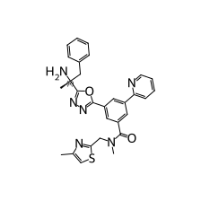 Cc1csc(CN(C)C(=O)c2cc(-c3ccccn3)cc(-c3nnc([C@](C)(N)Cc4ccccc4)o3)c2)n1